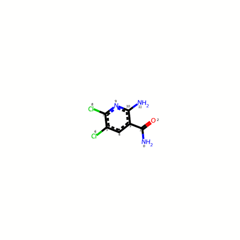 NC(=O)c1cc(Cl)c(Cl)nc1N